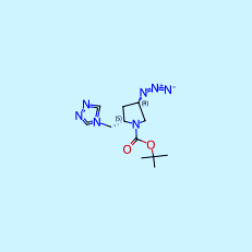 CC(C)(C)OC(=O)N1C[C@H](N=[N+]=[N-])C[C@H]1Cn1cnnc1